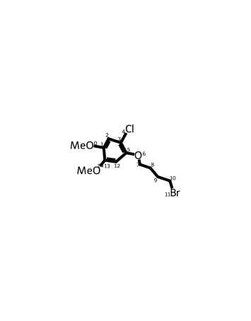 COc1cc(Cl)c(OCCCCBr)cc1OC